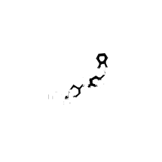 CCCC(=O)N1CCC(COc2coc(CN3Cc4ccccc4C3)cc2=O)CC1